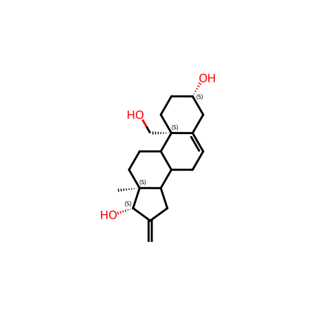 C=C1CC2C3CC=C4C[C@@H](O)CC[C@]4(CO)C3CC[C@]2(C)[C@H]1O